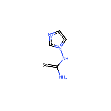 NC(=[Se])Nn1ccnc1